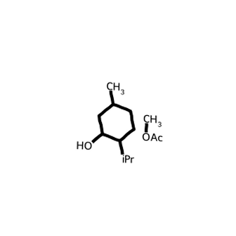 CC1CCC(C(C)C)C(O)C1.COC(C)=O